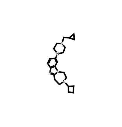 c1cc2nc3n(c2cc1N1CCN(CC2CC2)CC1)CCN(C1CCC1)CC3